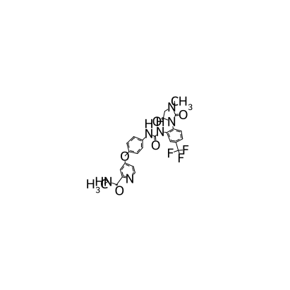 CNC(=O)c1cc(Oc2ccc(NC(=O)Nc3cc(C(F)(F)F)ccc3N3C(=O)CN(C)C3=O)cc2)ccn1